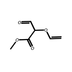 C=COC(C=O)C(=O)OC